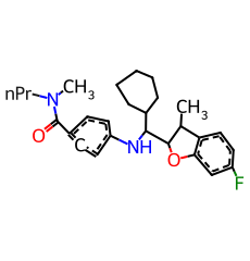 CCCN(C)C(=O)c1ccc(NC(C2CCCCC2)C2Oc3cc(F)ccc3C2C)cc1